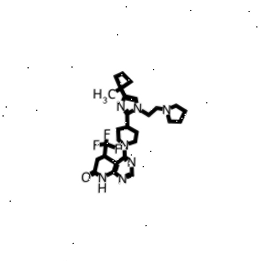 CC1(c2cn(CCN3CCCC3)c(C3CCN(c4ncnc5c4C(C(F)(F)F)CC(=O)N5)CC3)n2)CCC1